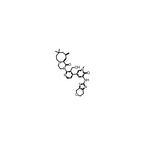 C=C1/C=C2/C(=O)N(c3nccc(-c4cc(Nc5nc6c(s5)COCC6)c(=O)n(C)c4)c3CO)CCN2CCC(C)(C)C1